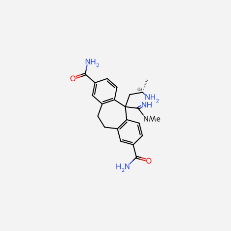 CNC(=N)C1(C[C@H](C)N)c2ccc(C(N)=O)cc2CCc2cc(C(N)=O)ccc21